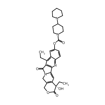 CCc1c2c(nc3ccc(OC(=O)N4CCC(N5CCCCC5)CC4)cc13)C1=CC3=C(COC(=O)[C@]3(O)CC)CN1C2=O